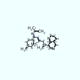 C=C(C)/N=C(\C=C(/C)CN(C)c1cncc2cccnc12)N1CCN(C)CC1